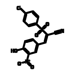 N#C/C(=C/c1ccc(O)c([N+](=O)[O-])c1)S(=O)(=O)c1ccc(Cl)cc1